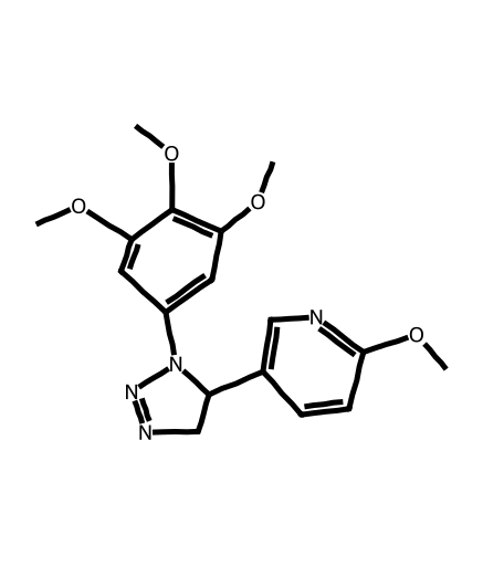 COc1ccc(C2CN=NN2c2cc(OC)c(OC)c(OC)c2)cn1